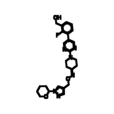 OCc1cccc(-c2cnc(N3CCC(=NOCc4cnn(C5CCCCO5)c4)CC3)nc2)c1F